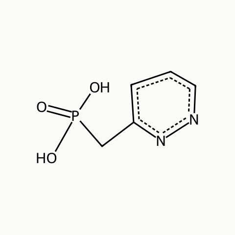 O=P(O)(O)Cc1cccnn1